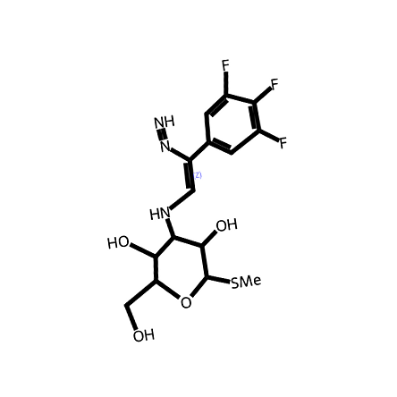 CSC1OC(CO)C(O)C(N/C=C(\N=N)c2cc(F)c(F)c(F)c2)C1O